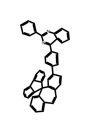 C1=Cc2ccc(-c3ccc(-c4nc(-c5ccccc5)nc5ccccc45)cc3)cc2C2(c3ccccc31)c1ccccc1-c1ccccc12